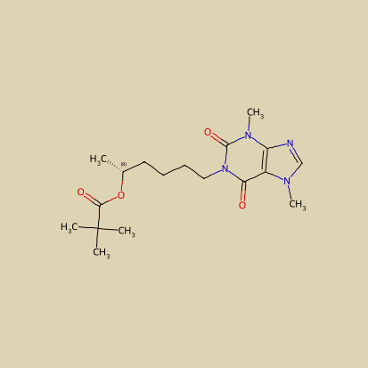 C[C@H](CCCCn1c(=O)c2c(ncn2C)n(C)c1=O)OC(=O)C(C)(C)C